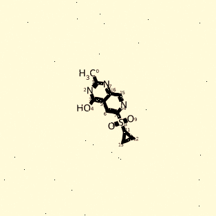 Cc1nc(O)c2cc(S(=O)(=O)C3CC3)ncc2n1